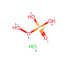 Cl.O=P(O)(O)OO